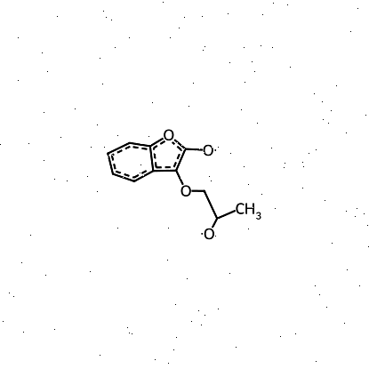 CC([O])COc1c([O])oc2ccccc12